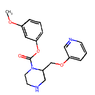 COc1cccc(OC(=O)N2CCNCC2COc2cccnc2)c1